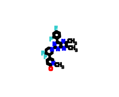 Cc1nc2nc(N3CCC(F)(F)C(c4ccc(=O)n(C)c4)C3)nc(-c3ccc(F)cc3F)c2nc1C